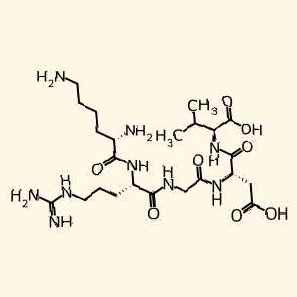 CC(C)[C@H](NC(=O)[C@H](CC(=O)O)NC(=O)CNC(=O)[C@H](CCCNC(=N)N)NC(=O)[C@@H](N)CCCCN)C(=O)O